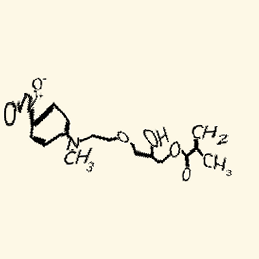 C=C(C)C(=O)OCC(O)COCCN(C)c1ccc([N+](=O)[O-])cc1